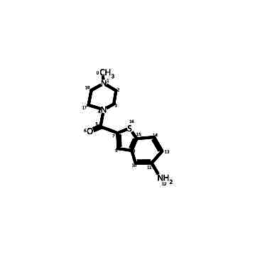 CN1CCN(C(=O)c2cc3cc(N)ccc3s2)CC1